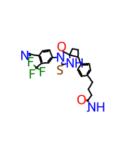 CNC(=O)CCCc1ccc(C2CCC23NC(=S)N(c2ccc(C#N)c(C(F)(F)F)c2)C3=O)cc1